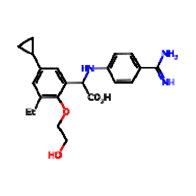 CCc1cc(C2CC2)cc(C(Nc2ccc(C(=N)N)cc2)C(=O)O)c1OCCO